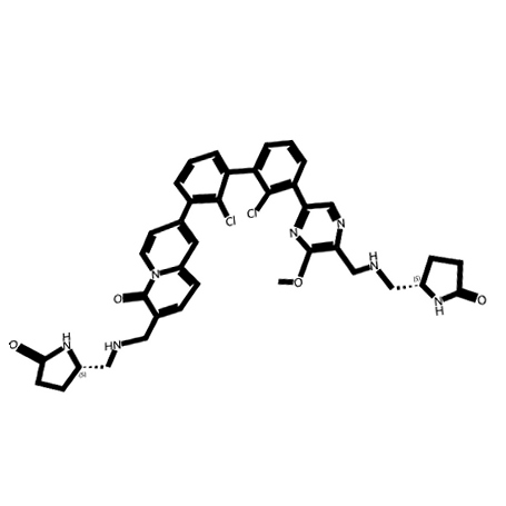 COc1nc(-c2cccc(-c3cccc(-c4ccn5c(=O)c(CNC[C@@H]6CCC(=O)N6)ccc5c4)c3Cl)c2Cl)cnc1CNC[C@@H]1CCC(=O)N1